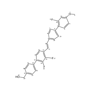 COc1ccc(-c2ccc(/C=C/c3ccc(-c4ccc(CO)cc4)c(F)c3F)cc2)c(F)c1